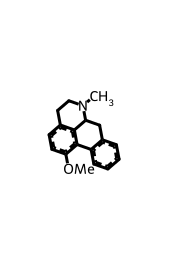 COc1ccc2c3c1-c1ccccc1CC3N(C)CC2